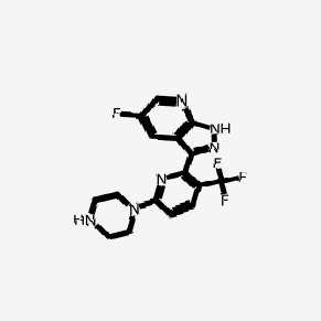 Fc1cnc2[nH]nc(-c3nc(N4CCNCC4)ccc3C(F)(F)F)c2c1